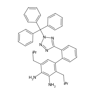 CC(C)Cc1cc(-c2ccccc2-c2nnn(C(c3ccccc3)(c3ccccc3)c3ccccc3)n2)c(CC(C)C)c(N)c1N